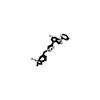 Cc1cc2ccc(Cn3cc(-c4cc(Br)cc5c4cnn5C4CCCCO4)nn3)cc2n1C(C)(C)C